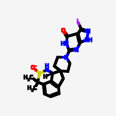 CC1(C)c2cccc3c2[C@@H](N[S+]1[O-])C1(CCN(c2nc4[nH]nc(I)c4c(=O)[nH]2)CC1)C3